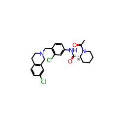 CC(=O)N1CCCC[C@@H]1C(=O)Nc1ccc(CN2CCc3ccc(Cl)cc3C2)c(Cl)c1